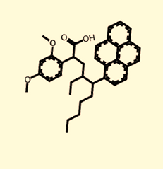 CCCCCC(c1ccc2ccc3cccc4ccc1c2c34)C(CC)CC(C(=O)O)c1ccc(OC)cc1OC